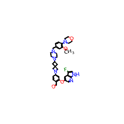 COc1cc(CN2CCN(C3CC4(C3)CN(c3ccc(C=O)c(Oc5cnc6[nH]cc(F)c6c5)c3)C4)CC2)ccc1N1CCOCC1